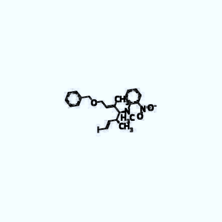 C/C(=C\COCc1ccccc1)[C@H]([C@@H](C)/C=C/I)N(C)c1ccccc1[N+](=O)[O-]